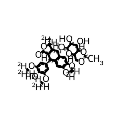 [2H]C([2H])([2H])Oc1cc([C@@H]2c3cc4c(cc3[C@@H](O[C@@H]3O[C@@H]5CO[C@@H](C)O[C@H]5[C@H](O)[C@H]3O)[C@@H]3[C@@H]2C(=O)OC3([2H])[2H])OC([2H])([2H])O4)cc(OC([2H])([2H])[2H])c1O